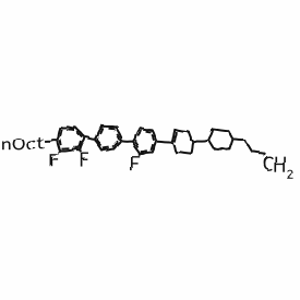 C=CCCC1CCC(C2CC=C(c3ccc(-c4ccc(-c5ccc(CCCCCCCC)c(F)c5F)cc4)c(F)c3)CC2)CC1